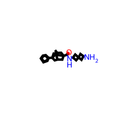 CC12CC3CC(C(=O)NC4CC5(CC(N)C5)C4)(C1)CC(c1ccccc1)(C3)C2